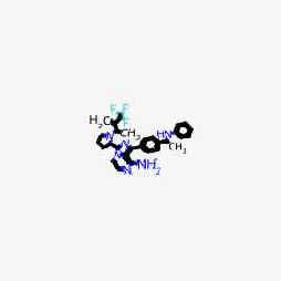 C=C(Nc1ccccc1)c1ccc(-c2nc(C3CCCN3C(=C)C(=C)C(F)(F)F)n3ccnc(N)c23)cc1